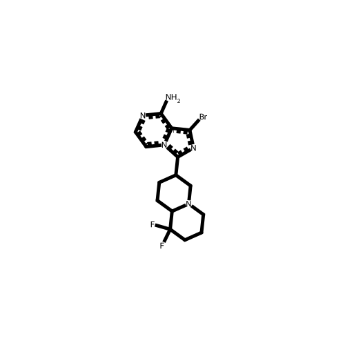 Nc1nccn2c(C3CCC4N(CCCC4(F)F)C3)nc(Br)c12